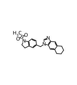 CS(=O)(=O)N1CCc2cc(Cn3cnc4cc5c(cc43)CCCC5)ccc21